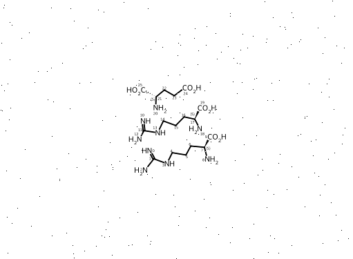 N=C(N)NCCC[C@H](N)C(=O)O.N=C(N)NCCC[C@H](N)C(=O)O.N[C@@H](CCC(=O)O)C(=O)O